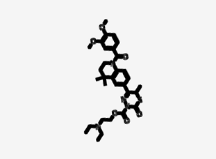 CCN(CC)CCOC(=O)N1N=C(c2ccc3c(c2)C(C)(C)CCN3C(=O)c2ccc(OC)c(OC)c2)C(C)SC1=O